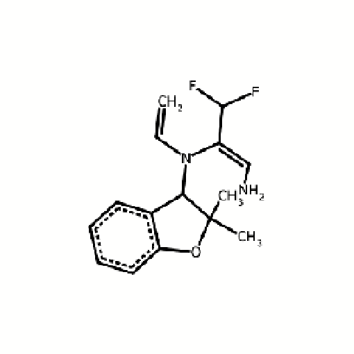 C=CN(/C(=C\N)C(F)F)C1c2ccccc2OC1(C)C